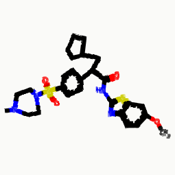 CN1CCN(S(=O)(=O)c2ccc(C(CC3CCCC3)C(=O)Nc3nc4ccc(OC(F)(F)F)cc4s3)cc2)CC1